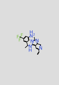 C=Cc1cc2c(NC(C)c3cc(N)cc(C(F)(F)F)c3)nc(C)nc2cn1